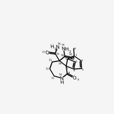 Cc1ccc2cc1C21C(=O)NCCCC1(C(N)=O)C(N)=O